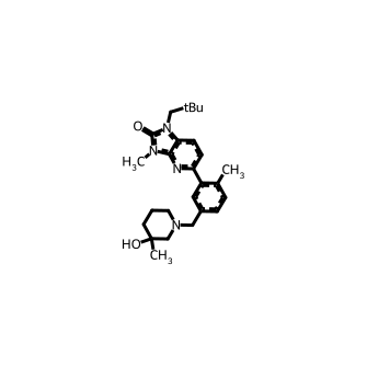 Cc1ccc(CN2CCCC(C)(O)C2)cc1-c1ccc2c(n1)n(C)c(=O)n2CC(C)(C)C